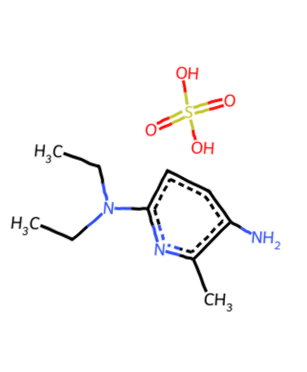 CCN(CC)c1ccc(N)c(C)n1.O=S(=O)(O)O